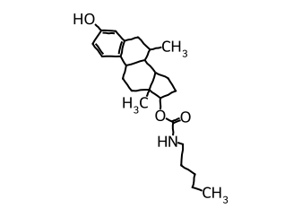 CCCCCNC(=O)OC1CCC2C3C(C)Cc4cc(O)ccc4C3CCC12C